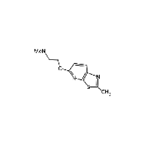 CNCCOc1ccc2nc(C)sc2n1